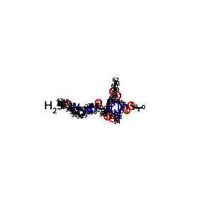 CCCCOC(=O)CN1CCN(CC(C)=O)CCN(C(CCC(=O)N2CCN(c3ccc4ccc(C(C)(C)O[SiH2]C(C)(C)C)nc4c3)CC2)C(C)=O)CCN(CC(=O)OCCCC)CC1